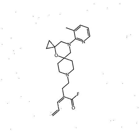 C=C/C=C(/CCN1CCC2(CC1)CN(c1ncccc1C)CC1(CC1)O2)C(=O)F